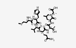 CSCC[C@H](N)C(=O)N[C@@H](Cc1c[nH]cn1)C(=O)N[C@H](C(=O)N[C@@H](CCC(N)=O)C(=O)N[C@H](C(=O)N[C@@H](CC(C)C)C(=O)N[C@@H](C)C(=O)O)[C@@H](C)O)C(C)C